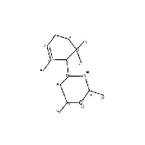 CC1=CCCC(C)(C)C1C1CC(C)OC(C)S1